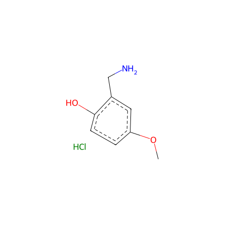 COc1ccc(O)c(CN)c1.Cl